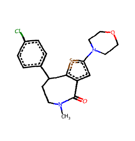 CN1CCC(c2ccc(Cl)cc2)c2sc(N3CCOCC3)cc2C1=O